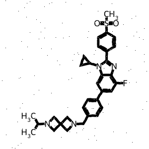 CC(C)N1CC2(CN(Cc3ccc(-c4cc(F)c5nc(-c6ccc(S(C)(=O)=O)cc6)n(C6CC6)c5c4)cc3)C2)C1